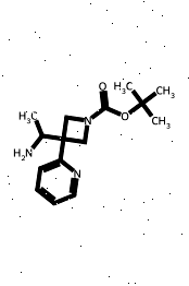 CC(N)C1(c2ccccn2)CN(C(=O)OC(C)(C)C)C1